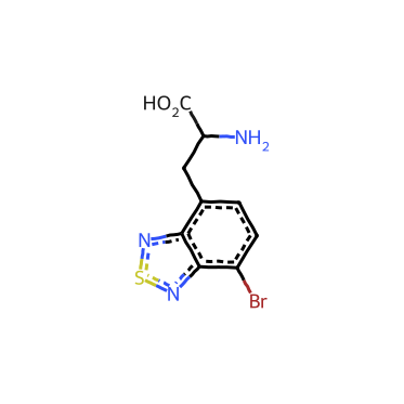 NC(Cc1ccc(Br)c2nsnc12)C(=O)O